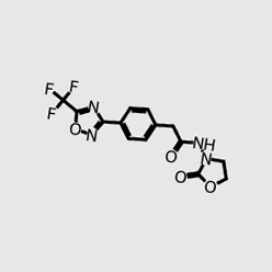 O=C(Cc1ccc(-c2noc(C(F)(F)F)n2)cc1)NN1CCOC1=O